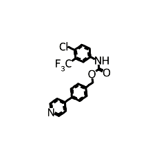 O=C(Nc1ccc(Cl)c(C(F)(F)F)c1)OCc1ccc(-c2ccncc2)cc1